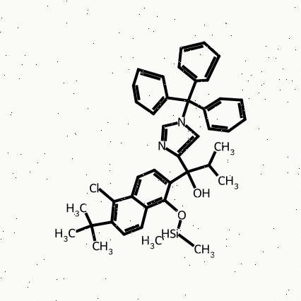 CC(C)C(O)(c1cn(C(c2ccccc2)(c2ccccc2)c2ccccc2)cn1)c1ccc2c(Cl)c(C(C)(C)C)ccc2c1O[SiH](C)C